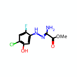 COC(=O)/C(N)=N/Nc1cc(O)c(Cl)cc1F